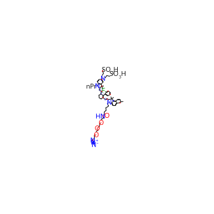 CCCN1/C(=C/C=C2\CCCC(/C=C/C3=[N+](CCCCCC(=O)NCCOCCOCCOCCN=[N+]=[N-])c4ccc5cc(C)ccc5c4C3(C)C)=C2c2ccccc2F)C(C)(C)c2cc(N(CCCS(=O)(=O)O)CCCS(=O)(=O)O)ccc21